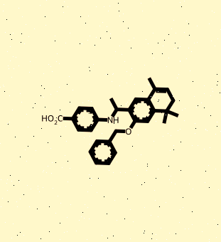 CC1=CCC(C)(C)c2cc(OCc3ccccc3)c(C(C)Nc3ccc(C(=O)O)cc3)cc21